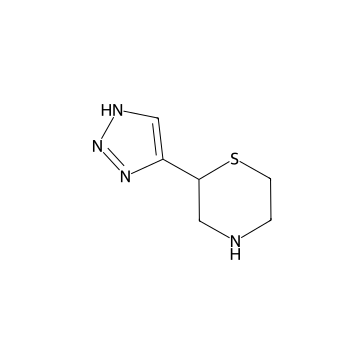 c1[nH]nnc1C1CNCCS1